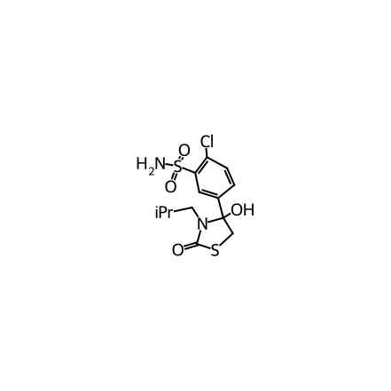 CC(C)CN1C(=O)SCC1(O)c1ccc(Cl)c(S(N)(=O)=O)c1